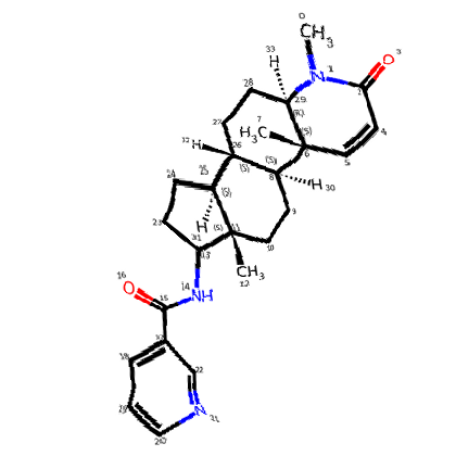 CN1C(=O)C=C[C@]2(C)[C@H]3CC[C@]4(C)C(NC(=O)c5cccnc5)CC[C@H]4[C@@H]3CC[C@@H]12